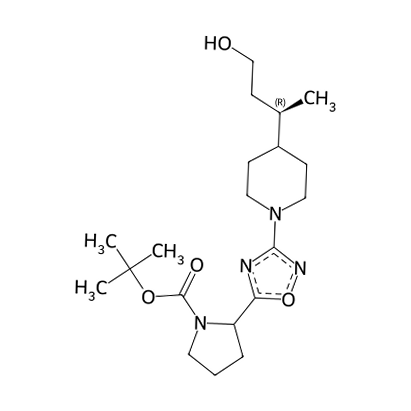 C[C@H](CCO)C1CCN(c2noc(C3CCCN3C(=O)OC(C)(C)C)n2)CC1